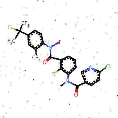 CN(C(=O)c1ccc(Cl)nc1)c1cccc(C(=O)N(I)c2ccc(C(F)(C(F)(F)F)C(F)(F)F)cc2C(F)(F)F)c1F